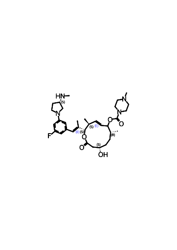 CN[C@H]1CCN(c2cc(F)cc(/C=C(\C)[C@H]3OC(=O)C[C@@H](O)CC[C@@H](C)C(OC(=O)N4CCN(C)CC4)/C=C/[C@@H]3C)c2)C1